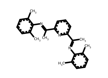 C/C(=N\c1c(C)cccc1C)c1cccc(/C(C)=N/c2c(C)cccc2C)n1